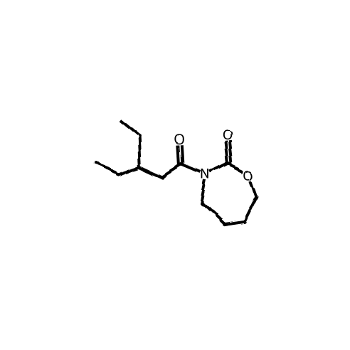 CCC(CC)CC(=O)N1CCCCOC1=O